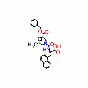 CC(C)CN(CCC(=O)OCc1ccccc1)C(=O)N[C@@H](Cc1cccc2ccccc12)C(=O)O